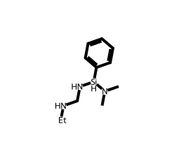 CCNCN[SiH](c1ccccc1)N(C)C